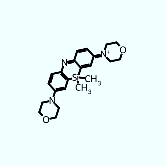 C[Si]1(C)C2=CC(=[N+]3CCOCC3)C=CC2=Nc2ccc(N3CCOCC3)cc21